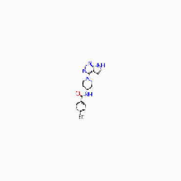 CCc1ccc(C(=O)NC2CCN(c3ncnc4[nH]ccc34)CC2)cc1